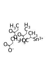 CCC(=O)[O-].CCC(=O)[O-].CCC(=O)[O-].C[CH](C)[Sn+3]